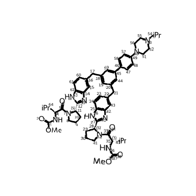 COC(=O)N[C@H](C(=O)N1CCC[C@H]1c1nc2cc(Cc3cc(Cc4ccc5[nH]c([C@@H]6CCCN6C(=O)[C@@H](NC(=O)OC)C(C)C)nc5c4)cc(-c4ccc(N5CCN(C(C)C)CC5)cc4)c3)ccc2[nH]1)C(C)C